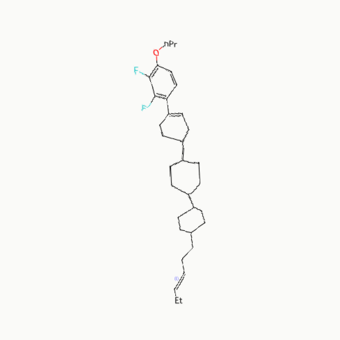 CC/C=C/CCC1CCC(C2CCC(C3CC=C(c4ccc(OCCC)c(F)c4F)CC3)CC2)CC1